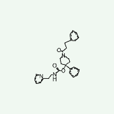 O=C(NCCc1ccccn1)OC1(c2ccccc2)CCN(C(=O)CCc2ccccc2)CC1